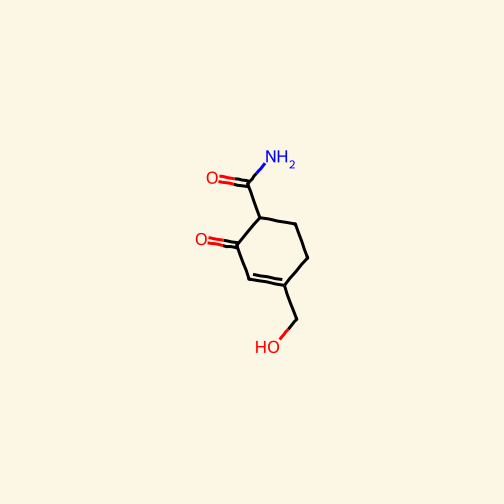 NC(=O)C1CCC(CO)=CC1=O